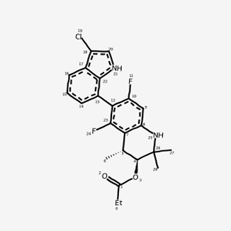 CCC(=O)O[C@H]1[C@H](C)c2c(cc(F)c(-c3cccc4c(Cl)c[nH]c34)c2F)NC1(C)C